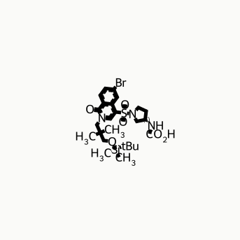 CC(C)(CO[Si](C)(C)C(C)(C)C)Cn1cc(S(=O)(=O)N2CC[C@H](NC(=O)O)C2)c2cc(Br)ccc2c1=O